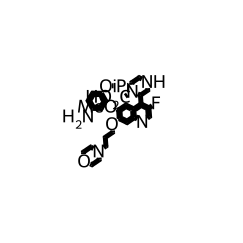 CC(C)Oc1ccc(N)cc1.COc1cc2c(C3CNCCN3C(=O)O)c(F)cnc2cc1OCCCN1CCOCC1